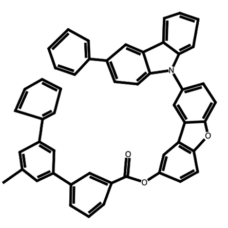 Cc1cc(-c2ccccc2)cc(-c2cccc(C(=O)Oc3ccc4oc5ccc(-n6c7ccccc7c7cc(-c8ccccc8)ccc76)cc5c4c3)c2)c1